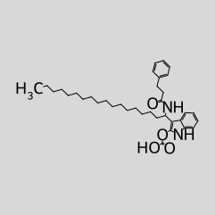 CCCCCCCCCCCCCCCCCC(NC(=O)CCc1ccccc1)c1c(OC(=O)O)[nH]c2ccccc12